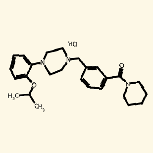 CC(C)Oc1ccccc1N1CCN(Cc2cccc(C(=O)N3CCCCC3)c2)CC1.Cl